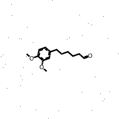 COc1ccc(CCCCCC=O)cc1OC